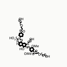 COc1cc(S(=O)(=O)CCOSOOO)c(OC)cc1/N=N/c1c(SOOO)cc2c(/N=N/c3ccc(S(=O)(=O)CCOSOOO)cc3)c(NCS(=O)(=O)O)ccc2c1O